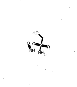 N=O.NS(=O)(=O)CO